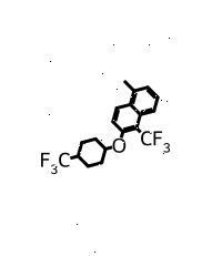 Cc1cccc2c(C(F)(F)F)c(OC3CCC(C(F)(F)F)CC3)ccc12